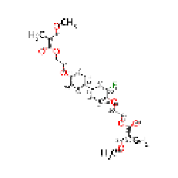 C=C(COC)C(=O)OCCOc1ccc(-c2ccc(OCCOC(=O)C(=C)COC)c(F)c2)cc1